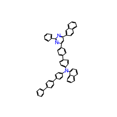 c1ccc(-c2ccc(-c3ccc(N(c4ccc(-c5ccc(-c6cc(-c7ccc8ccccc8c7)nc(-c7ccccc7)n6)cc5)cc4)c4cccc5ccccc45)cc3)cc2)cc1